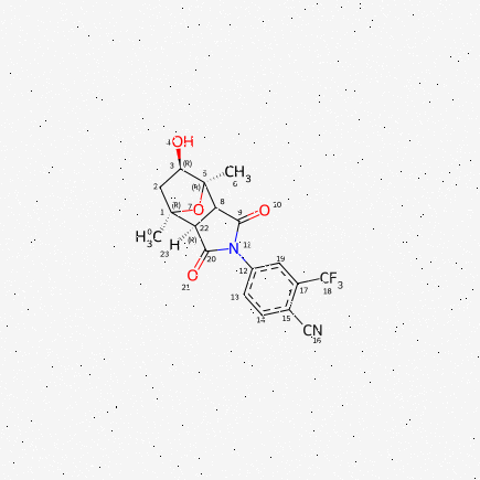 C[C@]12C[C@@H](O)[C@](C)(O1)C1C(=O)N(c3ccc(C#N)c(C(F)(F)F)c3)C(=O)[C@H]12